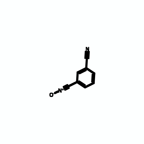 N#Cc1cccc(C#[N+][O-])c1